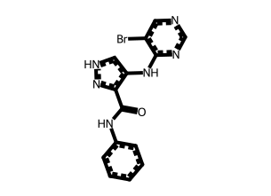 O=C(Nc1ccccc1)c1n[nH]cc1Nc1ncncc1Br